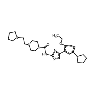 CCOc1ccc(C2CCCC2)cc1-c1csc(NC(=O)N2CCN(CCN3CCCC3)CC2)n1